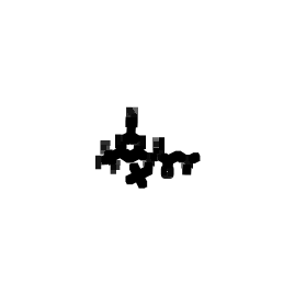 CN(C)CC(=O)NN(CC(C)(C)C)c1cc(C(F)(F)F)nc(C#N)n1